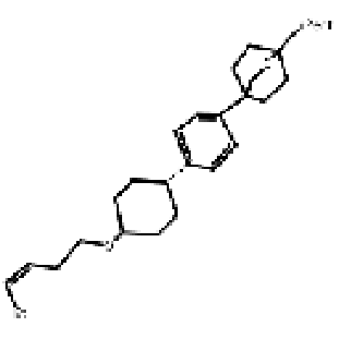 CC/C=C\CCO[C@H]1CC[C@H](c2ccc(C34CCC(CCCCC)(CC3)CC4)cc2)CC1